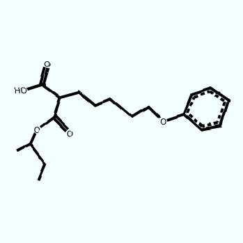 CCC(C)OC(=O)C(CCCCCOc1ccccc1)C(=O)O